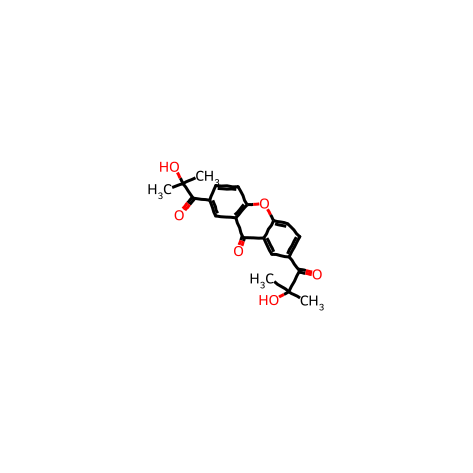 CC(C)(O)C(=O)c1ccc2oc3ccc(C(=O)C(C)(C)O)cc3c(=O)c2c1